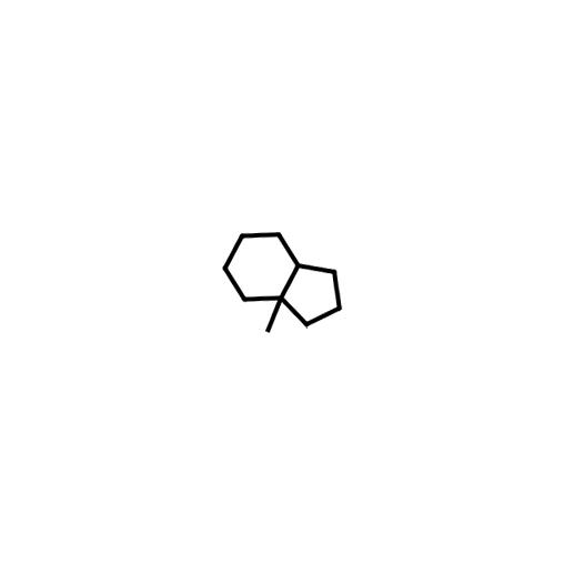 CC12[CH]CCC1CCCC2